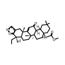 CC[C@]1(C)c2oncc2C[C@]2(C)C3=CC(=O)[C@@H]4[C@@H]5CC(C)(C)CC[C@]5(NC(=O)OC)CC[C@@]4(C)[C@]3(C)CC[C@H]21